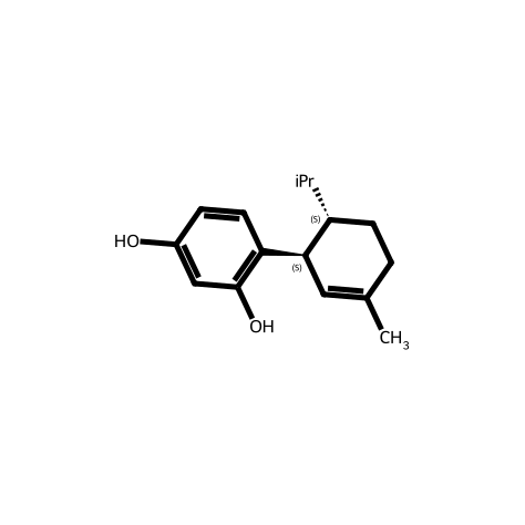 CC1=C[C@@H](c2ccc(O)cc2O)[C@H](C(C)C)CC1